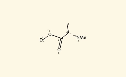 CCOC(=O)[C@H](C)NC